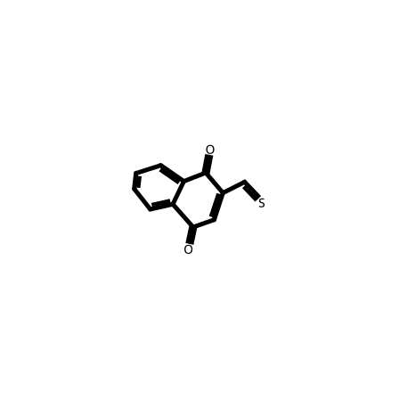 O=C1C=C(C=S)C(=O)c2ccccc21